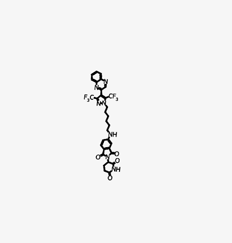 O=C1CCC(N2C(=O)c3ccc(NCCCCCCn4nc(C(F)(F)F)c(-c5cnc6ccccc6n5)c4C(F)(F)F)cc3C2=O)C(=O)N1